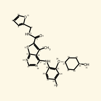 Cc1c(C(=O)NCc2ccco2)sc2ncnc(Nc3ccc(F)cc3O[C@H]3CC[C@H](O)CC3)c12